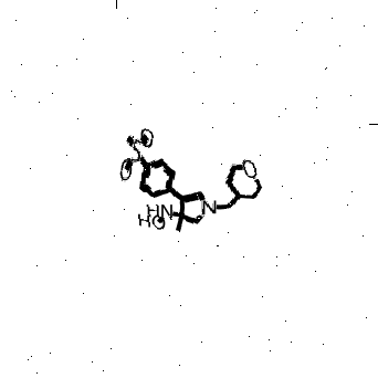 CC1(NO)CN(CC2CCOCC2)C=C1c1ccc(S(C)(=O)=O)cc1